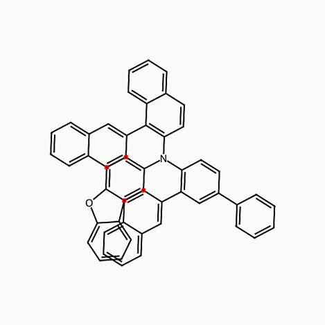 c1ccc(-c2ccc(N(c3ccc4oc5ccccc5c4c3)c3ccc4ccccc4c3-c3ccc4ccccc4c3)c(-c3ccc4ccccc4c3)c2)cc1